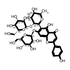 C[C@@H]1O[C@@H](c2c(O[C@@H]3O[C@H](CO)[C@@H](O)[C@H](O)[C@H]3O)cc3oc(-c4ccc(O)cc4)cc(=O)c3c2O)[C@H](O[C@@H]2O[C@H](CO)[C@@H](O)[C@H](O)[C@H]2O)[C@H](O)[C@H]1O